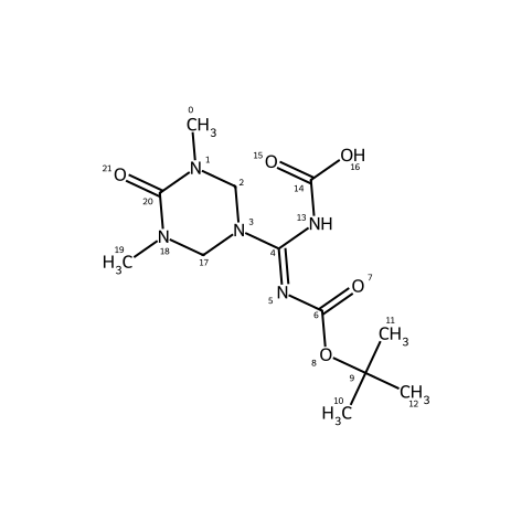 CN1CN(/C(=N/C(=O)OC(C)(C)C)NC(=O)O)CN(C)C1=O